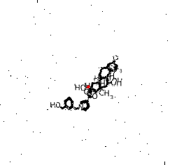 C[C@]12C=CC(=O)C=C1CC[C@@H]1[C@@H]2[C@@H](O)C[C@@]2(C)[C@H]1C[C@H]1O[C@@H](c3ccn(Cc4cccc(CO)c4)c3)O[C@]12C(=O)CO